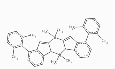 Cc1cccc(C)c1-c1cccc2c1C=C1[CH]2[Hf]([CH3])([CH3])[CH]2C(=Cc3c(-c4c(C)cccc4C)cccc32)[Si]1(C)C